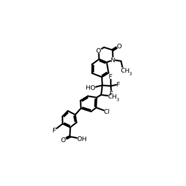 CCN1C(=O)COc2ccc(C(O)(C(C)c3ccc(-c4ccc(F)c(C(=O)O)c4)cc3Cl)C(F)(F)F)cc21